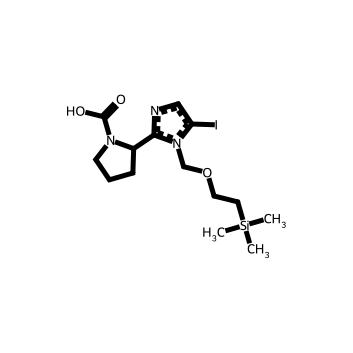 C[Si](C)(C)CCOCn1c(I)cnc1C1CCCN1C(=O)O